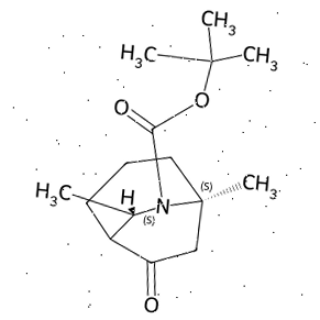 C[C@H]1C2CCC[C@@](C)(CC2=O)N1C(=O)OC(C)(C)C